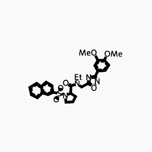 CCN(Cc1nc(-c2ccc(OC)c(OC)c2)no1)C(=O)C1CCCN1S(=O)(=O)c1ccc2ccccc2c1